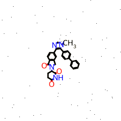 Cn1cnc(-c2ccc3c(c2)CN(C2CCC(=O)NC2=O)C3=O)c1-c1ccc(-c2ccccc2)cc1